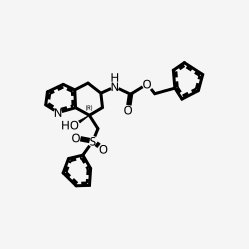 O=C(NC1Cc2cccnc2[C@@](O)(CS(=O)(=O)c2ccccc2)C1)OCc1ccccc1